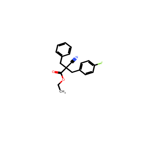 CCOC(=O)C(C#N)(Cc1ccccc1)Cc1ccc(F)cc1